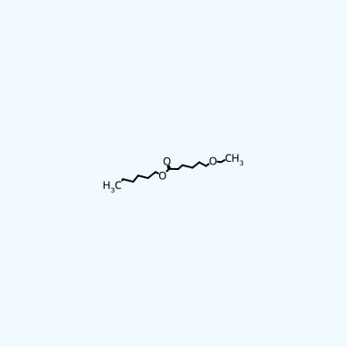 CCCCCCOC(=O)CCCCCOCC